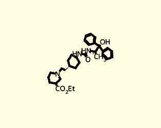 CCOC(=O)C1CCCN(CC[C@H]2CC[C@H](NC(=O)N[C@H](C)C(O)(c3ccccc3)c3ccccc3)CC2)C1